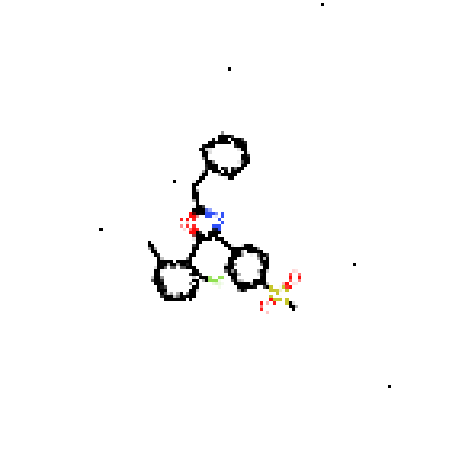 Cc1cccc(F)c1-c1oc(Cc2ccccc2)nc1-c1ccc(S(C)(=O)=O)cc1